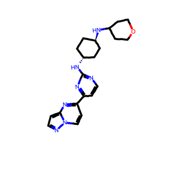 c1cc(-c2ccn3nccc3n2)nc(N[C@H]2CC[C@H](NC3CCOCC3)CC2)n1